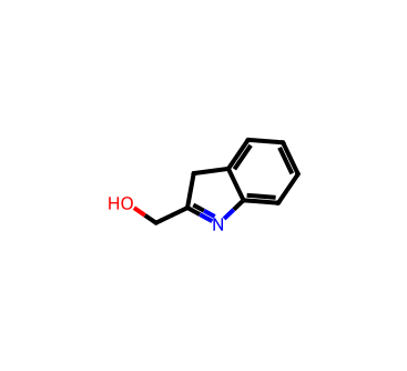 OCC1=Nc2ccccc2C1